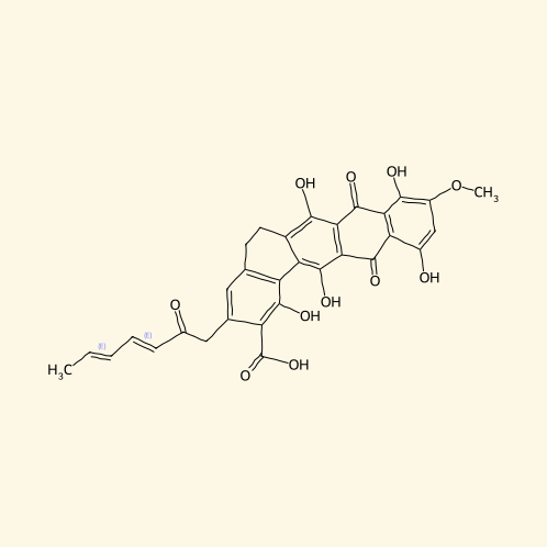 C/C=C/C=C/C(=O)Cc1cc2c(c(O)c1C(=O)O)-c1c(O)c3c(c(O)c1CC2)C(=O)c1c(O)c(OC)cc(O)c1C3=O